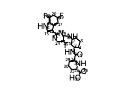 O=C(N[C@@H]1CCC[C@H](NC2=NC(c3c[nH]c4c3=CC(F)CC=4F)=NC[C@H]2F)C1)C1=CCC[C@H](C(=O)O)N1